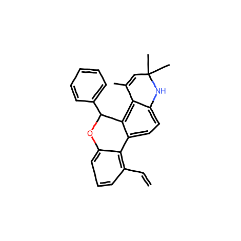 C=Cc1cccc2c1-c1ccc3c(c1C(c1ccccc1)O2)C(C)=CC(C)(C)N3